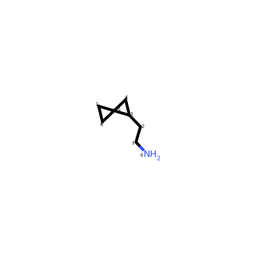 NCCC1CC12CC2